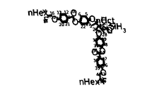 CCCCCCCCC(C)(Oc1ccc(OC(=O)c2ccc(OCC(F)CCCCCC)cc2)cc1)C(C)(C)C(C)(Oc1ccc(OC(=O)c2ccc(OCC(F)CCCCCC)cc2)cc1)[SiH2]O[SiH3]